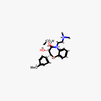 CC(=O)O.COc1ccc([C@H]2Sc3ccccc3N(CCN(C)C)C(=O)[C@H]2O)cc1